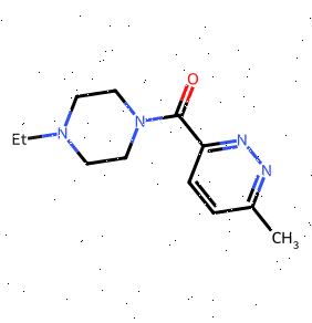 CCN1CCN(C(=O)c2ccc(C)nn2)CC1